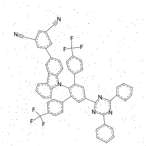 N#Cc1cc(C#N)cc(-c2ccc3c(c2)c2ccccc2n3-c2c(-c3ccc(C(F)(F)F)cc3)cc(-c3nc(-c4ccccc4)nc(-c4ccccc4)n3)cc2-c2ccc(C(F)(F)F)cc2)c1